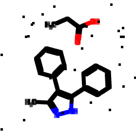 CCC(=O)O.Cc1n[nH]c(-c2ccccc2)c1-c1ccccc1